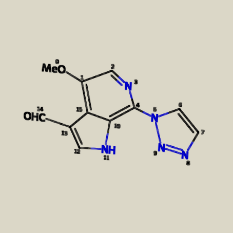 COc1cnc(-n2ccnn2)c2[nH]cc(C=O)c12